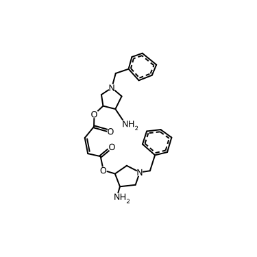 NC1CN(Cc2ccccc2)CC1OC(=O)/C=C\C(=O)OC1CN(Cc2ccccc2)CC1N